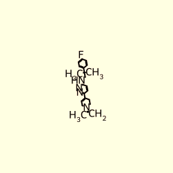 C=C(C)N1CC=C(c2ccc(NCC(C)(C)c3ccc(F)cc3)nn2)CC1